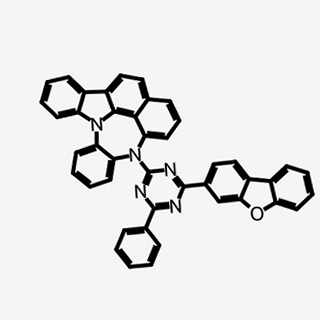 c1ccc(-c2nc(-c3ccc4c(c3)oc3ccccc34)nc(-n3c4cccc5ccc6c7ccccc7n(c7ccccc73)c6c54)n2)cc1